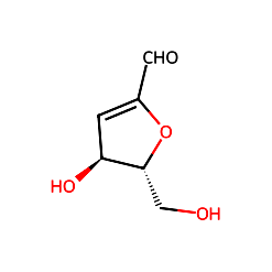 O=CC1=C[C@H](O)[C@@H](CO)O1